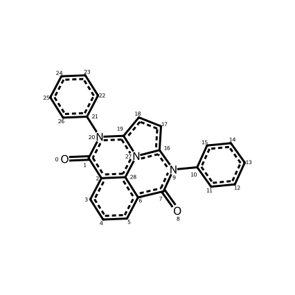 O=c1c2cccc3c(=O)n(-c4ccccc4)c4ccc(n1-c1ccccc1)n4c23